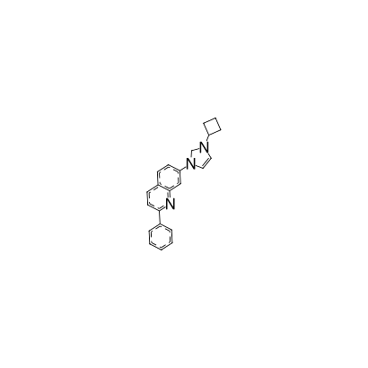 C1=CN(C2CCC2)CN1c1ccc2ccc(-c3ccccc3)nc2c1